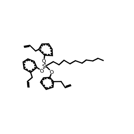 C=CCc1ccccc1O[Si](CCCCCCCCCC)(Oc1ccccc1CC=C)Oc1ccccc1CC=C